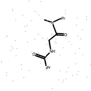 CC(C)C(=O)NCC(=O)N(C)C(C)C